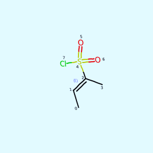 C/C=C(\C)S(=O)(=O)Cl